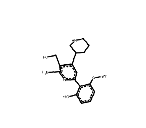 CCCOc1cccc(O)c1-c1cc(C2CCCNC2)c(CO)c(N)n1